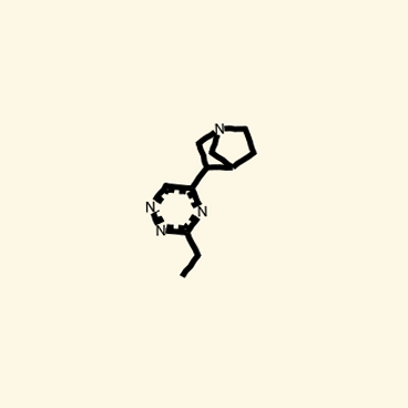 CCc1nncc(C2CN3CCC2C3)n1